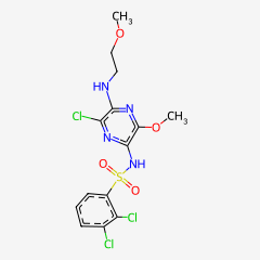 COCCNc1nc(OC)c(NS(=O)(=O)c2cccc(Cl)c2Cl)nc1Cl